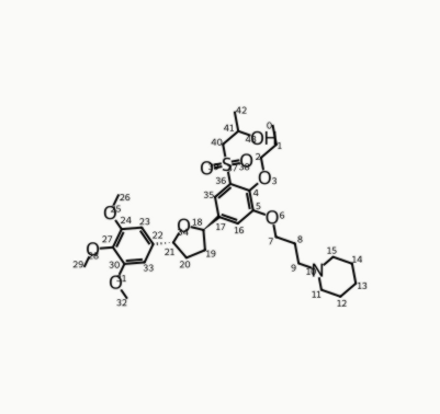 CCCOc1c(OCCCN2CCCCC2)cc([C@H]2CC[C@H](c3cc(OC)c(OC)c(OC)c3)O2)cc1S(=O)(=O)CC(C)O